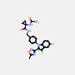 Cc1nc(-c2c(F)c3cc(F)ccc3n2-c2ccc(CNC(=O)C3(NC(=O)C(F)(F)F)CC3)cc2)no1